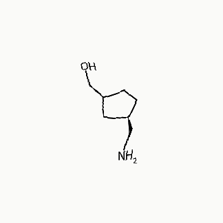 NC[C@@H]1CCC(CO)C1